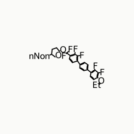 CCCCCCCCCC1CCC(OC(F)(F)c2ccc(-c3ccc(-c4ccc(OCC)c(F)c4F)cc3)c(F)c2F)OC1